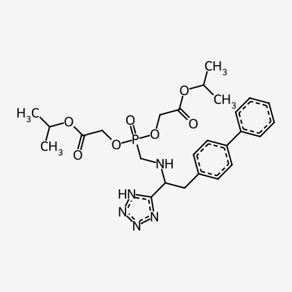 CC(C)OC(=O)COP(=O)(CNC(Cc1ccc(-c2ccccc2)cc1)c1nnn[nH]1)OCC(=O)OC(C)C